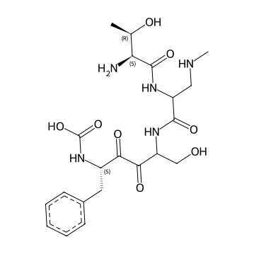 CNCC(NC(=O)[C@@H](N)[C@@H](C)O)C(=O)NC(CO)C(=O)C(=O)[C@H](Cc1ccccc1)NC(=O)O